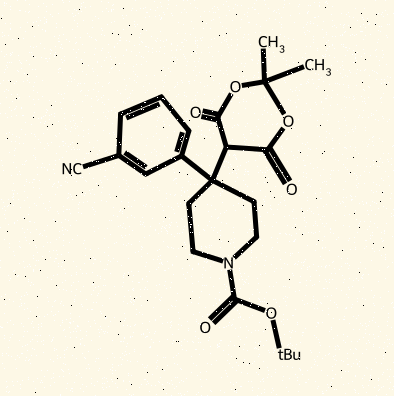 CC(C)(C)OC(=O)N1CCC(c2cccc(C#N)c2)(C2C(=O)OC(C)(C)OC2=O)CC1